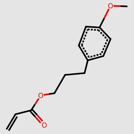 C=CC(=O)OCCCc1ccc(OC)cc1